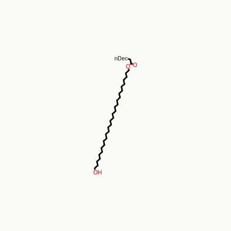 CCCCCCCCCCCC(=O)OCCCCCCCCCCCCCCCCCCCCCCCCCCCCCCO